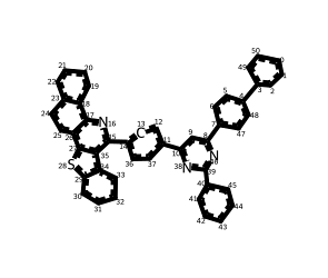 c1ccc(-c2ccc(-c3cc(-c4ccc(-c5nc6c7ccccc7ccc6c6sc7ccccc7c56)cc4)nc(-c4ccccc4)n3)cc2)cc1